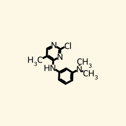 Cc1cnc(Cl)nc1Nc1cccc(N(C)C)c1